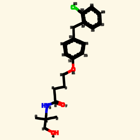 CC(C)(CO)NC(=O)CCCOc1ccc(Cc2ccccc2Cl)cc1